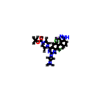 Cc1ccc2[nH]nc(I)c2c1-c1c(Cl)cc2c(N3CC(C)N(C(=O)OC(C)(C)C)CC3C)nc(N3CC(N(C)C)C3)nc2c1F